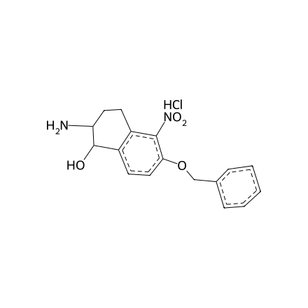 Cl.NC1CCc2c(ccc(OCc3ccccc3)c2[N+](=O)[O-])C1O